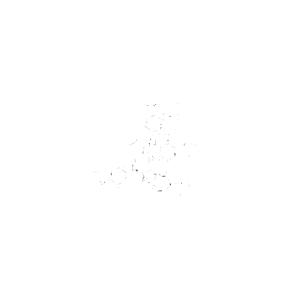 CC1=CC2=C3B(c4ccc5c(c4N2c2cc4c(cc2C)C(C)(C)CCC4(C)C)C(C)(C)CCC5(C)C)c2c(sc4ccc(C(C)(C)C)cc24)N(c2ccc(C(C)(C)C)cc2)C3C1